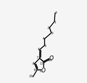 CCCCCCC=C1C=C(C)OC1=O